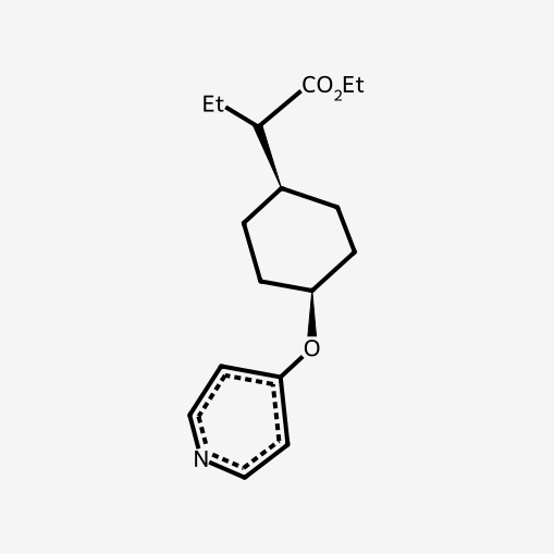 CCOC(=O)C(CC)[C@H]1CC[C@@H](Oc2ccncc2)CC1